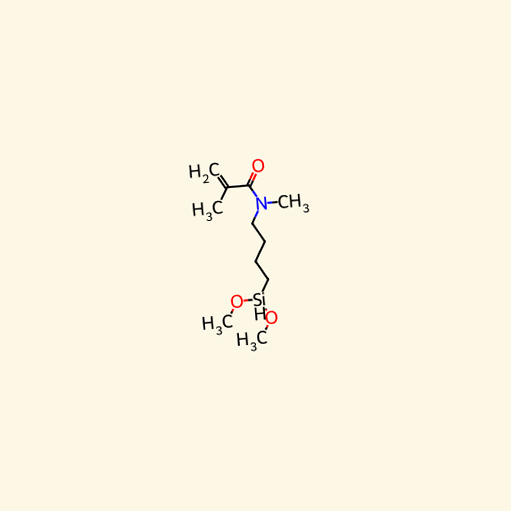 C=C(C)C(=O)N(C)CCCC[SiH](OC)OC